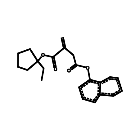 C=C(CC(=O)Oc1cccc2ccccc12)C(=O)OC1(CC)CCCC1